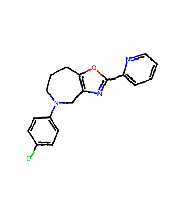 Clc1ccc(N2CCCc3oc(-c4ccccn4)nc3C2)cc1